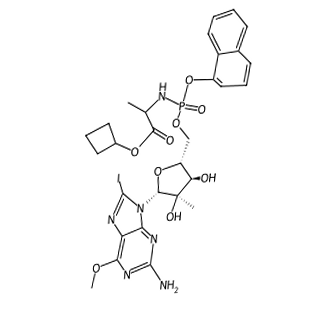 COc1nc(N)nc2c1nc(I)n2[C@@H]1O[C@H](COP(=O)(NC(C)C(=O)OC2CCC2)Oc2cccc3ccccc23)[C@@H](O)[C@@]1(C)O